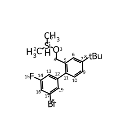 C[SiH](C)OCc1cc(C(C)(C)C)ccc1-c1cc(F)cc(Br)c1